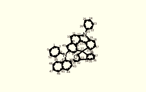 c1ccc(N(c2cc3c4c(ccc5c4c4c(cccc4n5-c4ccccc4)C34c3ccccc3-c3ccccc34)c2)c2cccc3ccccc23)cc1